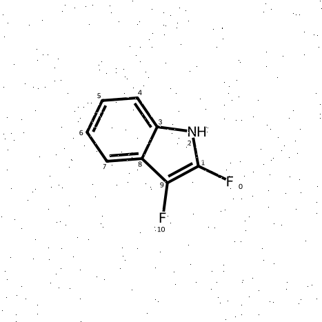 Fc1[nH]c2ccccc2c1F